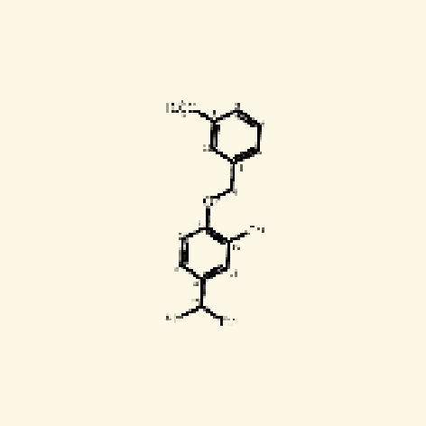 O=C(O)c1cccc(COc2ccc(C(F)F)cc2F)c1